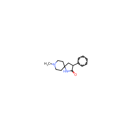 CN1CCC2(CC1)CC(c1ccccc1)C(=O)N2